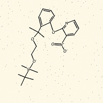 CC(C)(OCCO[Si](C)(C)C(C)(C)C)c1ccccc1Oc1ncccc1[N+](=O)[O-]